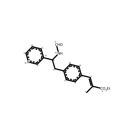 CCOC(=O)/C(C)=C/c1ccc(CC(NC=O)c2cccnc2)cc1